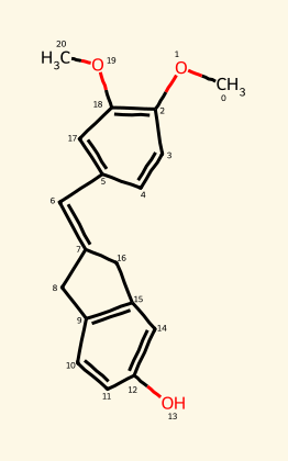 COc1ccc(C=C2Cc3ccc(O)cc3C2)cc1OC